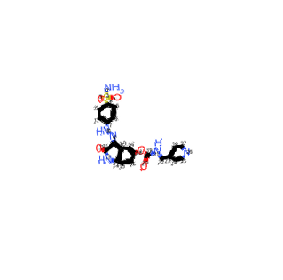 NS(=O)(=O)c1ccc(NN=C2C(=O)Nc3ccc(OC(=O)NCc4ccncc4)cc32)cc1